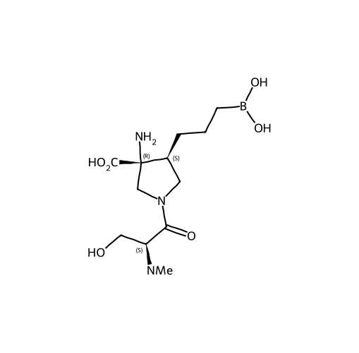 CN[C@@H](CO)C(=O)N1C[C@H](CCCB(O)O)[C@](N)(C(=O)O)C1